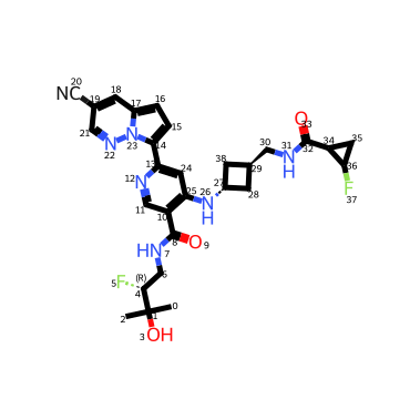 CC(C)(O)[C@H](F)CNC(=O)c1cnc(-c2ccc3cc(C#N)cnn23)cc1N[C@H]1C[C@H](CNC(=O)C2CC2F)C1